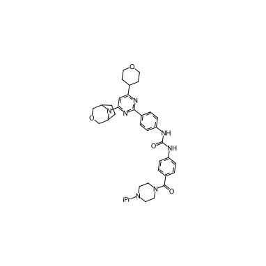 CC(C)N1CCN(C(=O)c2ccc(NC(=O)Nc3ccc(-c4nc(C5CCOCC5)cc(N5C6CCC5COC6)n4)cc3)cc2)CC1